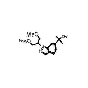 COCC(COC)n1ncc2ccc(C(C)(C)S)cc21